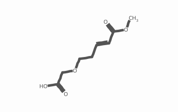 COC(=O)/C=C/CCOCC(=O)O